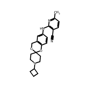 Cc1ccc(C#N)c(Nc2ccc3c(c2)COC2(CCN(C4CCC4)CC2)O3)n1